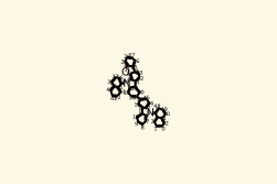 c1ccc2c(-n3c4ccccc4c4cc(-c5ccc6c(c5)c5ccc7c8ccccc8oc7c5n6-c5cccc6ccccc56)ccc43)cccc2c1